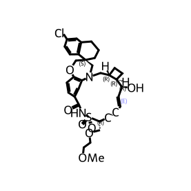 COCCOC[C@H]1CC/C=C/[C@H](O)[C@@H]2CC[C@H]2CN2C[C@@]3(CCCc4cc(Cl)ccc43)COc3ccc(cc32)C(=O)NS1(=O)=O